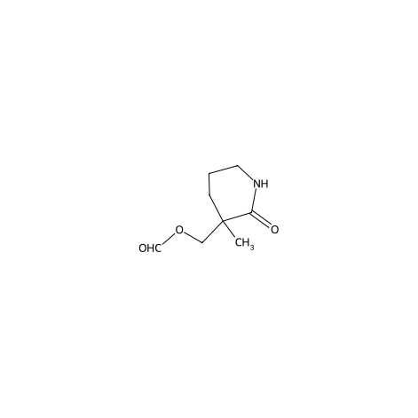 CC1(COC=O)CCCNC1=O